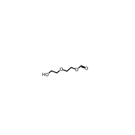 O=[C]OCCOCCO